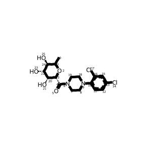 CC1O[C@H](C(=O)N2CCN(c3ccc(Cl)cc3Cl)CC2)[C@H](O)[C@H](O)[C@H]1O